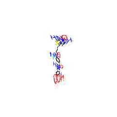 COc1cc(/C=N/NC(=O)c2ccc(NC(=O)CCCCC3SCC4NC(=O)N[C@@H]43)c(F)c2)cc(I)c1O